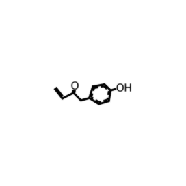 C=CC(=O)Cc1ccc(O)cc1